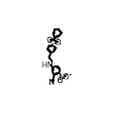 N#Cc1cc(NCCc2ccc(S(=O)(=O)c3ccccc3)cc2)ccc1[N+](=O)[O-]